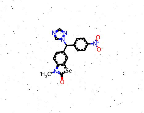 Cn1c(=O)[se]c2cc(C(c3ccc([N+](=O)[O-])cc3)n3cncn3)ccc21